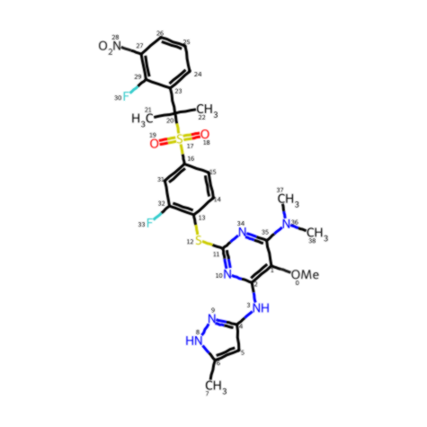 COc1c(Nc2cc(C)[nH]n2)nc(Sc2ccc(S(=O)(=O)C(C)(C)c3cccc([N+](=O)[O-])c3F)cc2F)nc1N(C)C